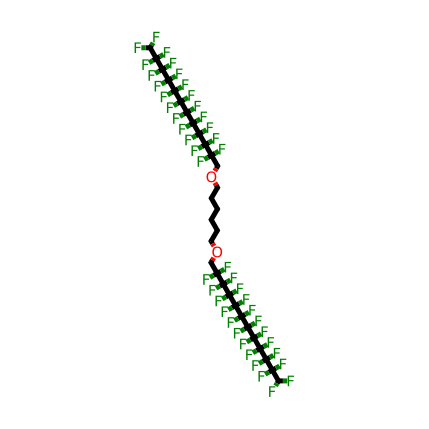 FC(F)C(F)(F)C(F)(F)C(F)(F)C(F)(F)C(F)(F)C(F)(F)C(F)(F)C(F)(F)C(F)(F)C(F)(F)COCCCCCCOCC(F)(F)C(F)(F)C(F)(F)C(F)(F)C(F)(F)C(F)(F)C(F)(F)C(F)(F)C(F)(F)C(F)(F)C(F)F